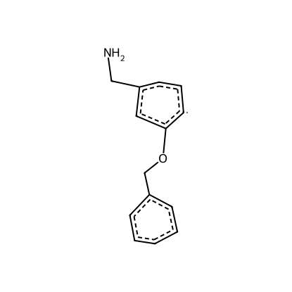 NCc1cc[c]c(OCc2ccccc2)c1